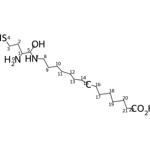 NC(CCS)C(O)NCCCCCCCCCCCCCCC(=O)O